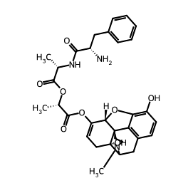 C[C@H](NC(=O)[C@@H](N)Cc1ccccc1)C(=O)O[C@@H](C)C(=O)OC1=CC[C@]2(O)C3Cc4ccc(O)c5c4[C@@]2(CCN3C)[C@H]1O5